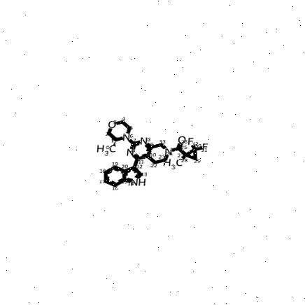 C[C@@H]1COCCN1c1nc2c(c(-c3c[nH]c4ccccc34)n1)CCN(C(=O)C1(C)CC1(F)F)C2